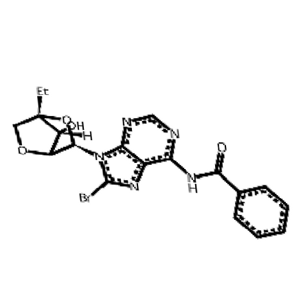 CC[C@@]12COC([C@H](n3c(Br)nc4c(NC(=O)c5ccccc5)ncnc43)O1)[C@H]2O